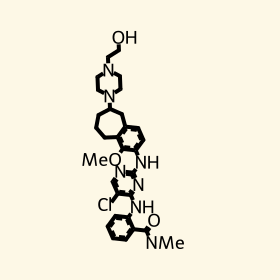 CNC(=O)c1ccccc1Nc1nc(Nc2ccc3c(c2OC)CCCC(N2CCN(CCO)CC2)C3)ncc1Cl